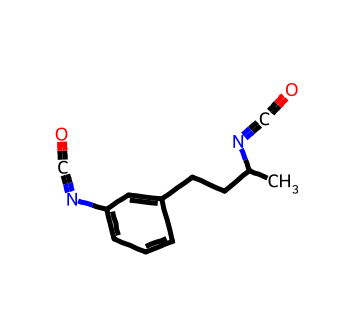 CC(CCc1cccc(N=C=O)c1)N=C=O